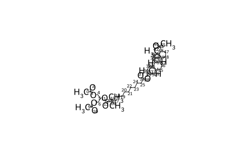 CC(=O)OCC(COC(C)=O)OC(=O)C(C)(C)CCCCCCCCCC(=O)O[C@@H]1CC[C@@]2(C)[C@@H](CC[C@@H]3[C@@H]2CC[C@]2(C)[C@@H](C(C)=O)CC[C@@H]32)C1